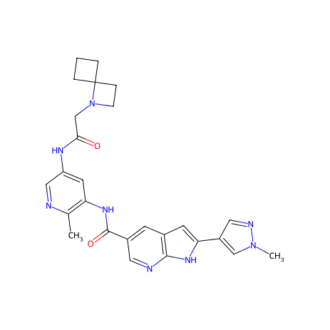 Cc1ncc(NC(=O)CN2CCC23CCC3)cc1NC(=O)c1cnc2[nH]c(-c3cnn(C)c3)cc2c1